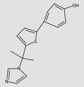 CC(C)(c1ccc(-c2ccc(O)cc2)s1)n1ccnc1